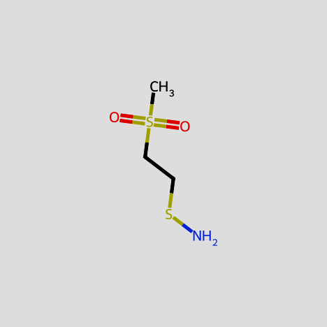 CS(=O)(=O)CCSN